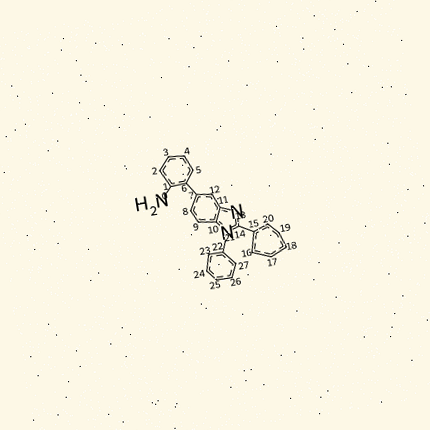 Nc1ccccc1-c1ccc2c(c1)nc(-c1ccccc1)n2-c1ccccc1